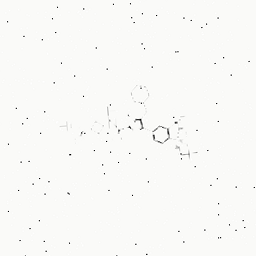 CC(C)(C)CS(=O)(=O)c1ccc(-c2sc(C(=O)N[C@H]3C[C@H](C(=O)O)C3)nc2CC2CCCCC2)cc1C(F)(F)F